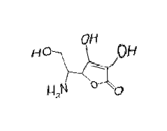 NC(CO)C1OC(=O)C(O)=C1O